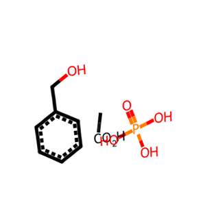 CC(=O)O.O=P(O)(O)O.OCc1ccccc1